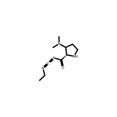 CCN=C=NC(=O)[C@@H]1NCCC1N(C)C